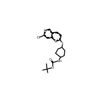 CC(C)(C)OC(=O)NC1CCC(Sc2ccc3cnc(Cl)cc3n2)CC1